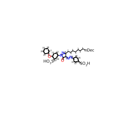 CCCCCCCCCCCCCCCCCC1=NN(c2ccc(Oc3ccccc3)c(S(=O)(=O)O)c2)C(=O)C1/N=N/c1ccc(S(=O)(=O)O)cc1